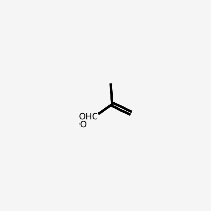 C=C(C)C=O.[O]